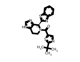 CC(C)(C)c1ncc(C(=O)N2CCc3[nH]cnc3[C@H]2c2nc3ccccc3s2)s1